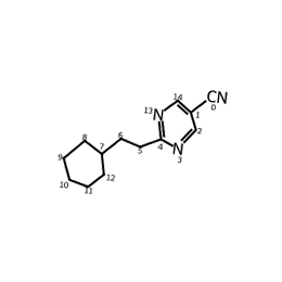 N#Cc1cnc(CCC2CCCCC2)nc1